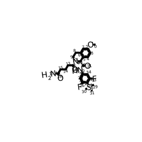 COc1ccc2c(c1)CCN(C(=O)CCCC(N)=O)[C@H]2C(=O)Nc1cc(F)c([Si](C)(C)C)c(F)c1